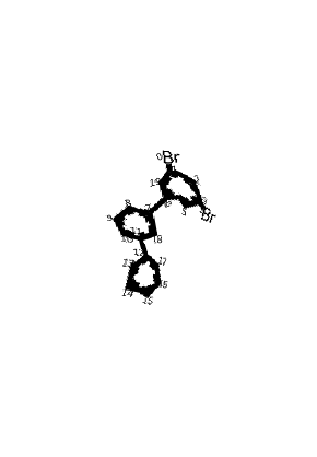 Brc1cc(Br)cc(-c2cccc(-c3ccccc3)c2)c1